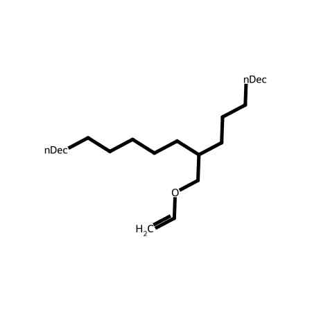 C=COCC(CCCCCCCCCCCCC)CCCCCCCCCCCCCCC